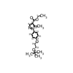 CCOC(=O)c1cnn(-c2ccc(OCCOC(C)(C)C)cc2)c1C